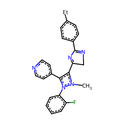 CCc1ccc(C2=NCC(c3c(-c4ccncc4)n(-c4ccccc4F)n3C)=N2)cc1